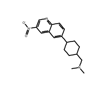 CN(C)CC1CCC(c2ccc3ncc([N+](=O)[O-])cc3c2)CC1